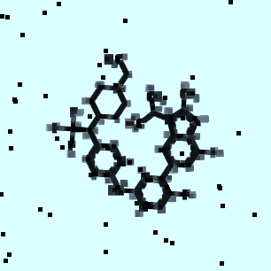 CCN1CCC([C@@H](c2ccc(Nc3ncc(F)c(-c4cc(F)c5nc(C)n(C(C)C)c5c4)n3)nc2)C(F)(F)F)CC1